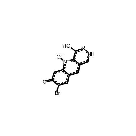 O=c1cc2c(cc1Br)cc1c[nH]nc(O)c1[n+]2[O-]